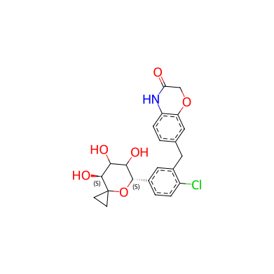 O=C1COc2cc(Cc3cc([C@@H]4OC5(CC5)[C@@H](O)C(O)C4O)ccc3Cl)ccc2N1